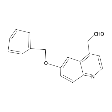 O=CCc1ccnc2ccc(OCc3ccccc3)cc12